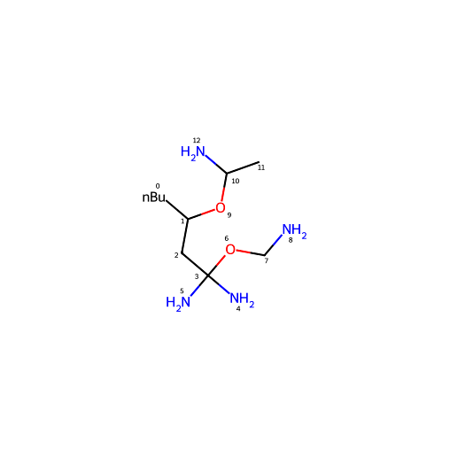 CCCCC(CC(N)(N)OCN)OC(C)N